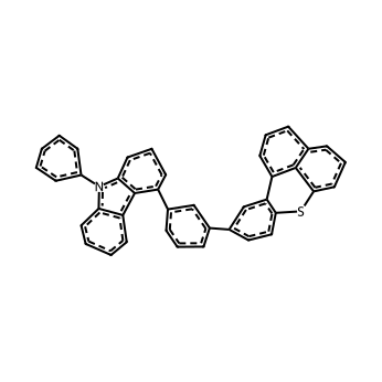 c1ccc(-n2c3ccccc3c3c(-c4cccc(-c5ccc6c(c5)-c5cccc7cccc(c57)S6)c4)cccc32)cc1